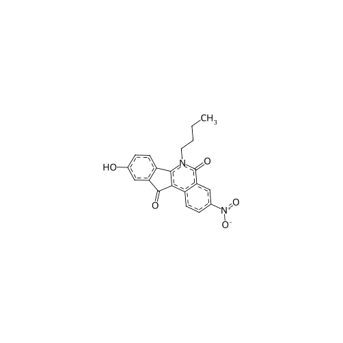 CCCCn1c2c(c3ccc([N+](=O)[O-])cc3c1=O)C(=O)c1cc(O)ccc1-2